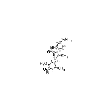 Cc1cc([N+](=O)[O-])c(C)cc1CC1SC(C(N)=O)=C(c2ccc(CN)cc2)N1C